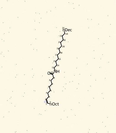 CCCCCCCC/C=C\CCCCCCCC(=O)NCCCCCCCCCCCCCCCCCCCCCC